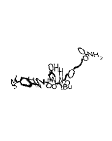 Cc1ncsc1-c1ccc([C@H](C)NC(=O)[C@@H]2C[C@@H](O)CN2C(=O)[C@@H](NC(=O)COCCCOC(N)=O)C(C)(C)C)cc1